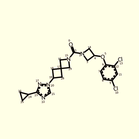 O=C(N1CC(Oc2ccc(Cl)cc2Cl)C1)N1CC2(CC(n3cnc(C4CC4)n3)C2)C1